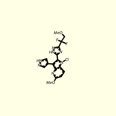 COCC(F)(F)c1n[nH]c(-c2c(-c3cn[nH]c3)c3nc(OC)ccc3n2Cl)n1